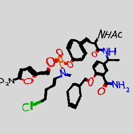 CC(=O)NC(Cc1ccc(OP(=O)(OCc2ccc([N+](=O)[O-])o2)N(C)CCCCCl)cc1)C(=O)NC(C)c1ccc(OCC2CCCCC2)c(C(N)=O)c1